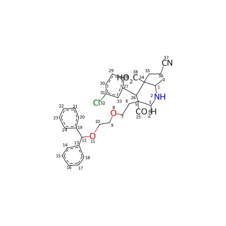 CC1NC(C)C(CCOCCOC(c2ccccc2)c2ccccc2)(C(=O)O)C(c2cccc(Cl)c2)C1(CCC#N)C(=O)O